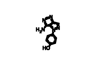 Nc1ncnc2cnn(-c3ccc(O)cc3)c12